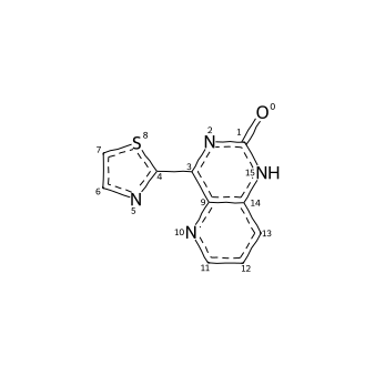 O=c1nc(-c2nccs2)c2ncccc2[nH]1